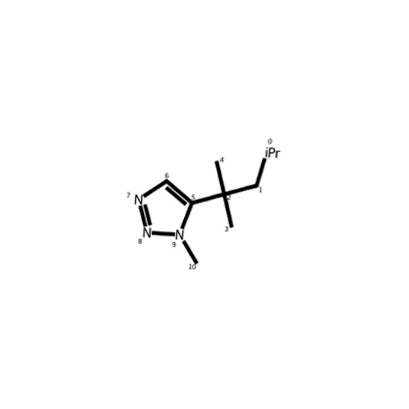 CC(C)CC(C)(C)c1cnnn1C